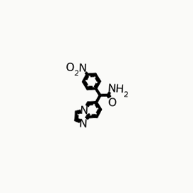 NC(=O)C(c1ccc([N+](=O)[O-])cc1)c1ccc2nccn2c1